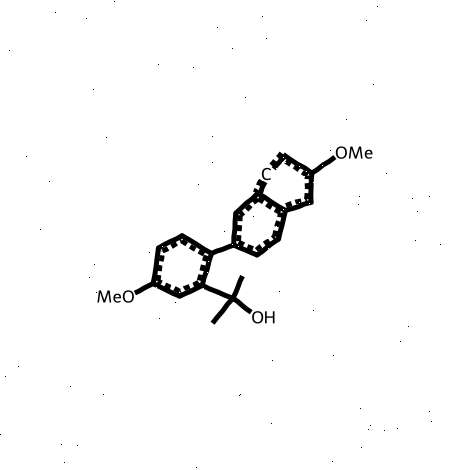 COc1ccc(-c2ccc3cc(OC)ccc3c2)c(C(C)(C)O)c1